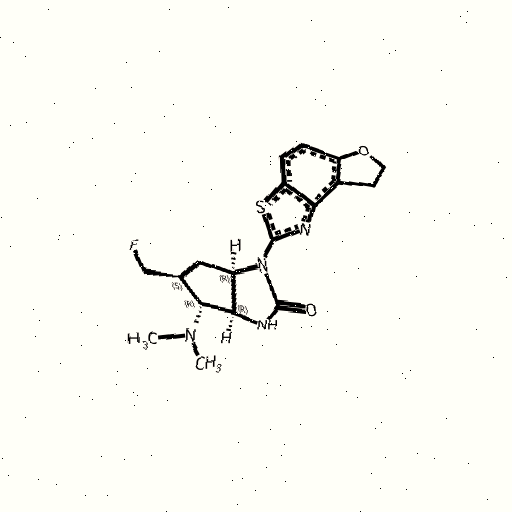 CN(C)[C@@H]1[C@@H](CF)C[C@@H]2[C@H]1NC(=O)N2c1nc2c3c(ccc2s1)OCC3